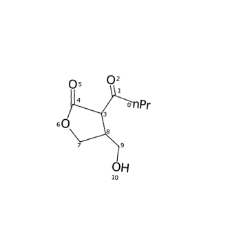 CCCC(=O)C1C(=O)OCC1CO